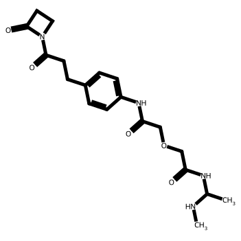 CNC(C)NC(=O)COCC(=O)Nc1ccc(CCC(=O)N2CCC2=O)cc1